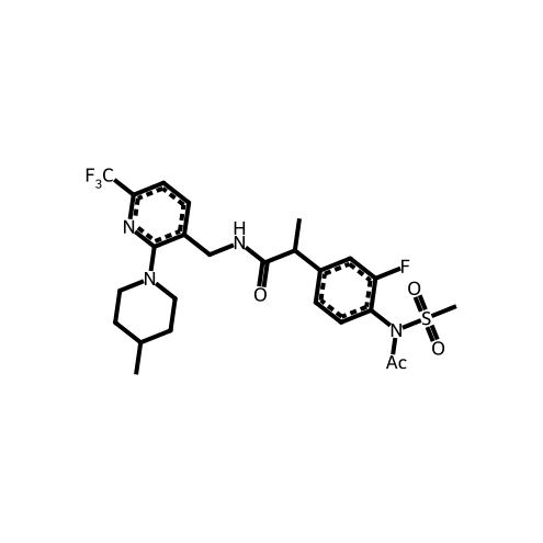 CC(=O)N(c1ccc(C(C)C(=O)NCc2ccc(C(F)(F)F)nc2N2CCC(C)CC2)cc1F)S(C)(=O)=O